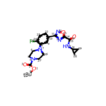 CC(C)(C)OC(=O)N1CCN(c2cc(-c3noc(C(=O)NC4CC4)n3)ccc2F)CC1